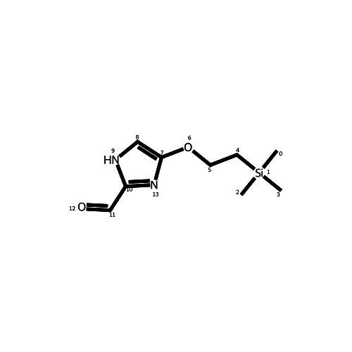 C[Si](C)(C)CCOc1c[nH]c(C=O)n1